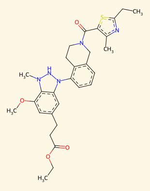 CCOC(=O)CCc1cc(OC)c2c(c1)N(c1cccc3c1CCN(C(=O)c1sc(CC)nc1C)C3)NN2C